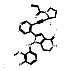 C=CC(=O)N1CCC[C@@]1(C)C#Cc1cnccc1-c1cc2c(n1Nc1cccc(F)c1OC)CCNC2=O